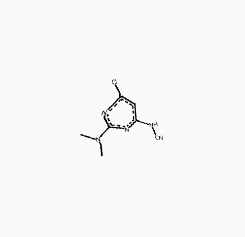 CN(C)c1nc(Cl)cc(NC#N)n1